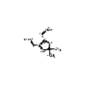 CNC[C@@H]1OC(C)(C)O[C@H]1CSC